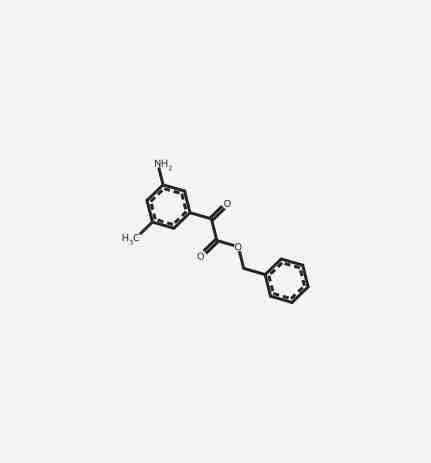 Cc1cc(N)cc(C(=O)C(=O)OCc2ccccc2)c1